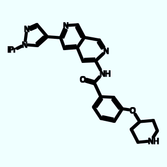 CC(C)n1cc(-c2cc3cc(NC(=O)c4cccc(OC5CCNCC5)c4)ncc3cn2)cn1